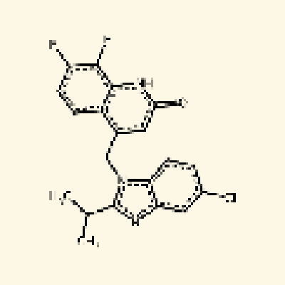 CC(C)c1nc2cc(Cl)ccc2n1Cc1cc(=O)[nH]c2c(F)c(F)ccc12